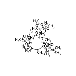 CC[C@H]1OC(=O)[C@H](C)[C@@H](O[C@H]2C[C@@](C)(OC)[C@@H](OC(C)=O)[C@H](C)O2)[C@H](C)[C@@H](O[C@@H]2O[C@H](C)C[C@H](N(C)C)[C@H]2O)[C@](C)(O)C[C@@H](C)CN(C)[C@H](C)[C@H]2OC(C)(N(C)C)O[C@@]21C